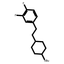 CCCCC1CCC(CCc2ccc(F)c(F)c2)CC1